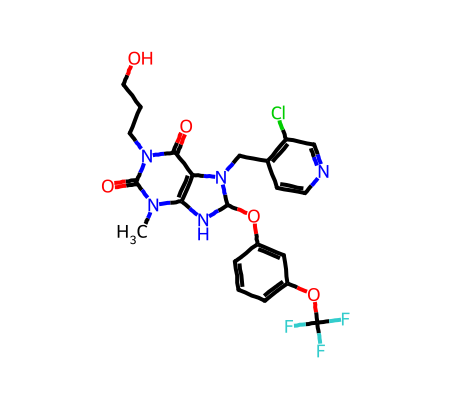 Cn1c2c(c(=O)n(CCCO)c1=O)N(Cc1ccncc1Cl)C(Oc1cccc(OC(F)(F)F)c1)N2